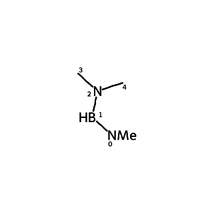 CNBN(C)C